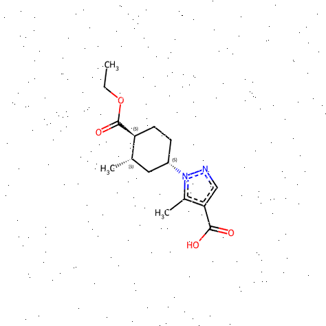 CCOC(=O)[C@H]1CC[C@H](n2ncc(C(=O)O)c2C)C[C@@H]1C